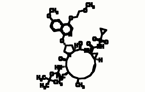 COCCOc1cnc(O[C@@H]2C[C@H]3C(=O)N[C@]4(C(=O)NS(=O)(=O)C5CC5)C[C@H]4/C=C\CC[C@@H](C)C[C@@H](C)[C@H](NC(=O)OC(C)(C)C)C(=O)N3C2)c2ccc(OC)cc12